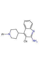 CC(C)N1CCC(c2c(C#N)c(N)nc3ccccc23)CC1